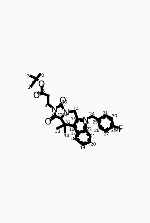 CC(C)(C)OC(=O)CCN1C(=O)C2N(Cc3c(c4ccccc4n3Cc3ccc(F)cc3)C2(C)C)C1=O